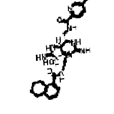 Cc1ccc(C(=O)NC[C@@H]2NC(=N)N3CC(NC(=O)c4cccc5c4CCCC5)[C@@H](O)[C@@]34NC(=N)N[C@@H]24)nc1